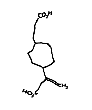 C=C(C(=O)O)C1CCC(CC(=O)O)CC1